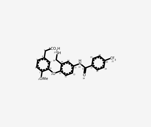 COc1ccc(CC(=O)O)cc1Oc1ccc(NC(=O)c2ccc(C(F)(F)F)cc2)cc1CS